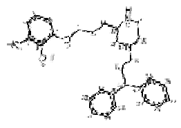 Oc1c(S)cccc1OCCCC1CN(CCC(c2ccccc2)c2ccccc2)CCN1